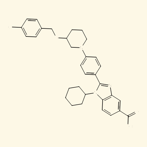 O=C(O)c1ccc2c(c1)nc(-c1ccc(N3CCCC(OCc4ccc(Cl)cc4)C3)cc1)n2C1CCCCC1